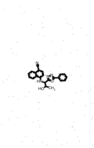 CC(O)C(Nc1ccc(C#N)c2ccccc12)c1nnc(-c2ccccc2)o1